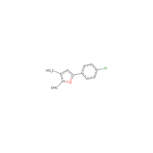 O=Cc1oc(-c2ccc(Cl)cc2)cc1C(=O)O